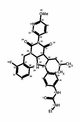 CCNC(=O)Nc1ccc(N2NC3C(C(=O)N(c4ccc(OC)nn4)C(=O)N3Cc3c(F)cccc3F)C2CN(C)C)cc1